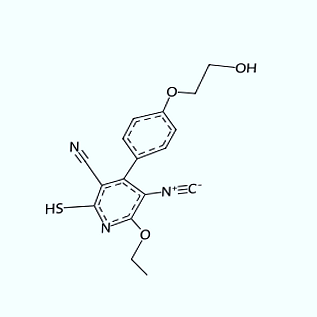 [C-]#[N+]c1c(OCC)nc(S)c(C#N)c1-c1ccc(OCCO)cc1